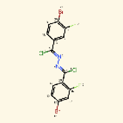 Fc1cc(/C(Cl)=N/N=C(\Cl)c2ccc(Br)cc2F)ccc1Br